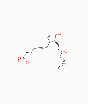 CC/C=C\CC(O)C/C=C1/C(=O)C=CC1CC#CCCCC(=O)OC